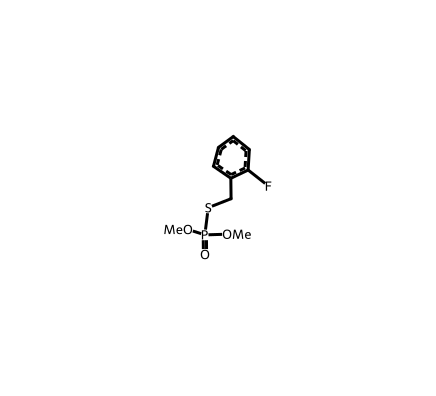 COP(=O)(OC)SCc1ccccc1F